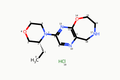 CC[C@@H]1COCCN1c1cnc2c(n1)OCCNC2.Cl